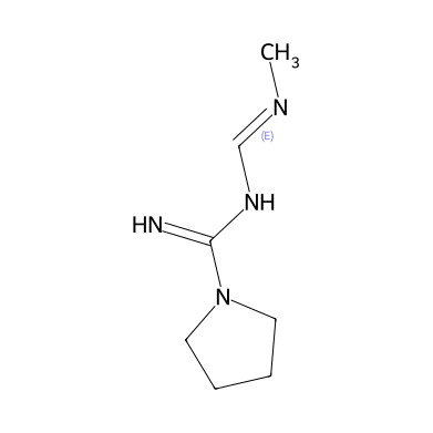 C/N=C/NC(=N)N1CCCC1